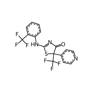 O=C1N=C(Nc2ccccc2C(F)(F)F)SC1(c1ccncc1)C(F)(F)F